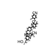 Cc1cc(C#N)ccc1COc1nc(C2=CCC(Cc3nc4cc(C(=O)O)cnc4n3CC(C)(C)C#N)CC2)ncc1F